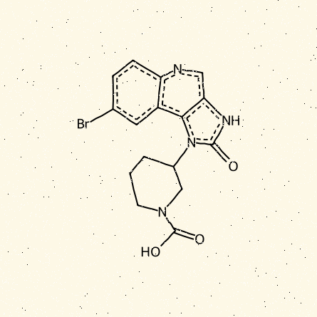 O=C(O)N1CCCC(n2c(=O)[nH]c3cnc4ccc(Br)cc4c32)C1